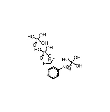 FCF.O=P(O)(O)O.O=P(O)(O)O.O=P(O)(O)O.O=[N+]([O-])c1ccccc1